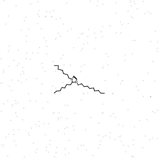 CCCCCCCCCCN1C=CN(CCCCCCC)C1CCCCCCC